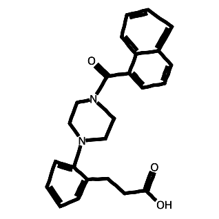 O=C(O)CCc1ccccc1N1CCN(C(=O)c2cccc3ccccc23)CC1